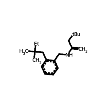 C=C(CC(C)(C)C)NCc1ccccc1CC(C)(C)CC